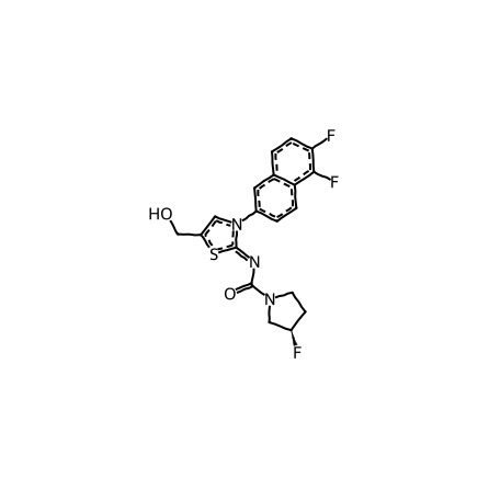 O=C(/N=c1\sc(CO)cn1-c1ccc2c(F)c(F)ccc2c1)N1CC[C@@H](F)C1